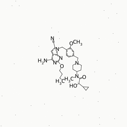 CCCCOc1nc(N)c2cc(C#N)n(Cc3ccc(CN4CCC(N(C)C(=O)C(O)C5CC5)CC4)cc3OC)c2n1